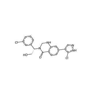 O=C1c2ccc(-c3cn[nH]c3Cl)cc2NCN1[C@H](CO)c1cccc(Cl)c1